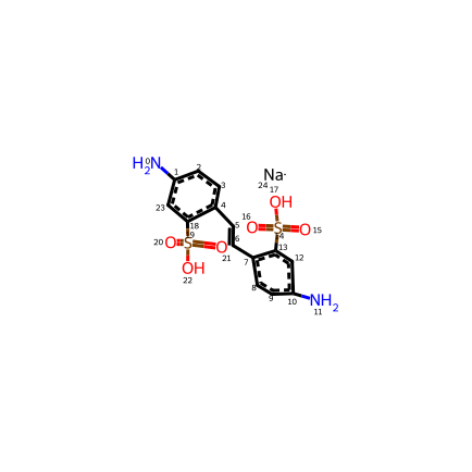 Nc1ccc(C=Cc2ccc(N)cc2S(=O)(=O)O)c(S(=O)(=O)O)c1.[Na]